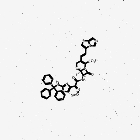 CON=C(C(=O)N[C@@H]1C(=O)N2C(C(=O)O)=C(C=Cc3csc4cncn34)CS[C@H]12)c1csc(NC(c2ccccc2)(c2ccccc2)c2ccccc2)n1